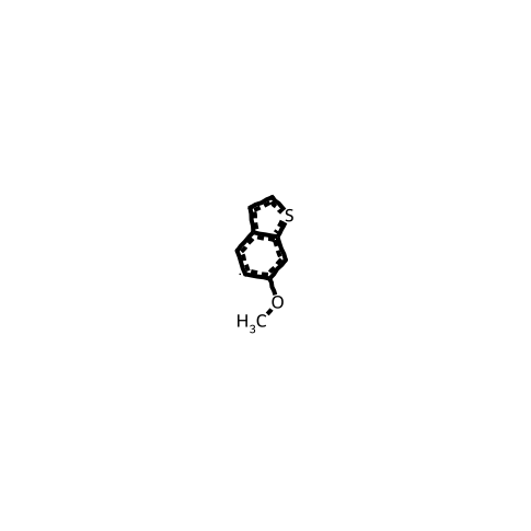 COc1[c]cc2ccsc2c1